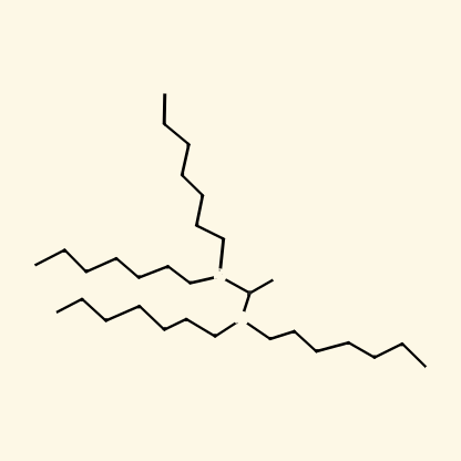 CCCCCCCP(CCCCCCC)C(C)P(CCCCCCC)CCCCCCC